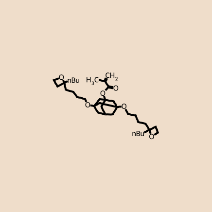 C=C(C)C(=O)OC12CC3CC(OCCCCC4(CCCC)CCO4)(CC(OCCCCC4(CCCC)CCO4)(C3)C1)C2